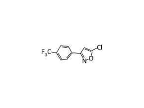 FC(F)(F)c1ccc(-c2cc(Cl)on2)cc1